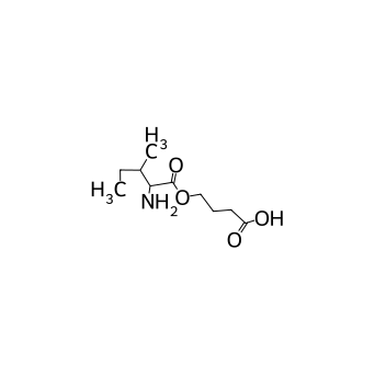 CCC(C)C(N)C(=O)OCCCC(=O)O